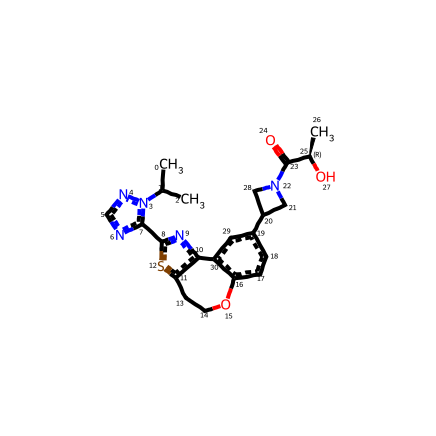 CC(C)n1ncnc1-c1nc2c(s1)CCOc1ccc(C3CN(C(=O)[C@@H](C)O)C3)cc1-2